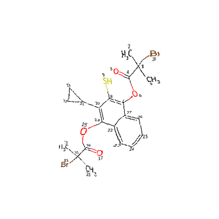 CC(C)(Br)C(=O)Oc1c(S)c(C2CC2)c(OC(=O)C(C)(C)Br)c2ccccc12